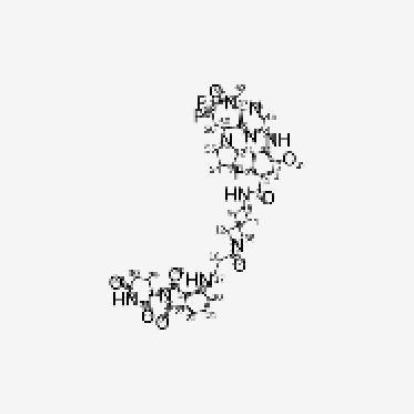 COc1cc(C(=O)NC2CC3(C2)CN(C(=O)CCNc2cccc4c2C(=O)N(C2CCC(=O)NC2=O)C4=O)C3)c(F)cc1Nc1cnc2c(n1)C(N1CCCC1)CC(F)(F)C(=O)N2C